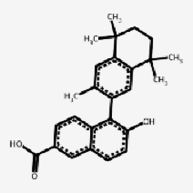 Cc1cc2c(cc1-c1c(O)ccc3cc(C(=O)O)ccc13)C(C)(C)CCC2(C)C